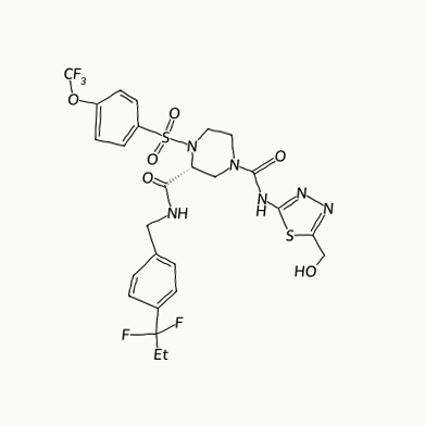 CCC(F)(F)c1ccc(CNC(=O)[C@H]2CN(C(=O)Nc3nnc(CO)s3)CCN2S(=O)(=O)c2ccc(OC(F)(F)F)cc2)cc1